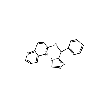 c1ccc(C(Oc2ccc3ncccc3n2)c2nnco2)cc1